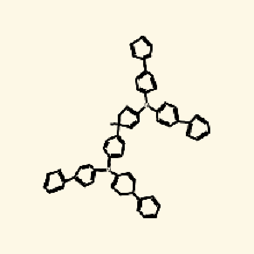 CC1(c2ccc(N(C3=CCC(c4ccccc4)C=C3)c3ccc(-c4ccccc4)cc3)cc2)C=CC(N(c2ccc(-c3ccccc3)cc2)c2ccc(-c3ccccc3)cc2)=CC1